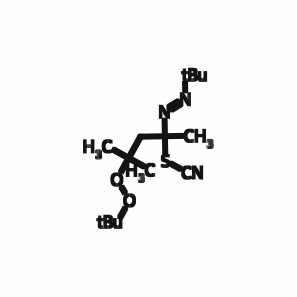 CC(C)(C)N=NC(C)(CC(C)(C)OOC(C)(C)C)SC#N